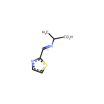 CC(/N=C/c1nccs1)C(=O)O